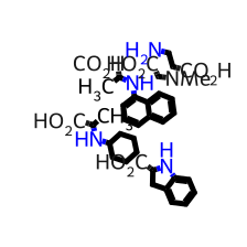 CC(NC1CCCCC1)C(=O)O.CC(Nc1cccc2ccccc12)C(=O)O.CNCC(=O)O.NCCC(=O)O.O=C(O)C1Cc2ccccc2N1